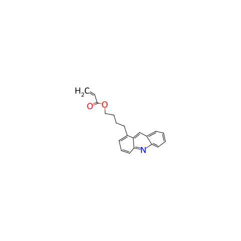 C=CC(=O)OCCCCc1cccc2nc3ccccc3cc12